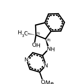 COc1cncc(N[C@@H]2c3ccccc3C[C@]2(C)O)n1